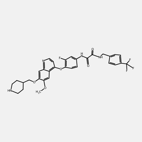 COc1cc2c(Oc3ccc(NC(=O)C(=O)NCc4ccc(C(F)(F)F)cc4)cc3F)ccnc2cc1OCC1CCNCC1